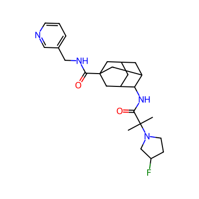 CC(C)(C(=O)NC1C2CC3CC1CC(C(=O)NCc1cccnc1)(C3)C2)N1CCC(F)C1